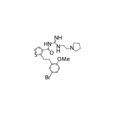 COc1ccc(Br)cc1CCc1sccc1C(=O)NC(=N)NCCN1CCCC1